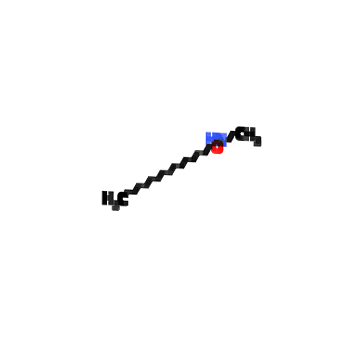 CCCCCCCCCCCCCCCCONCCC